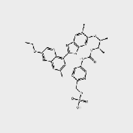 CCOc1cnc2c(-c3nc4cc(F)c(O[C@@H](C)[C@@H](C)OC(=O)Nc5cnc(COP(=O)(O)O)nc5)cc4s3)cc(C)cc2n1